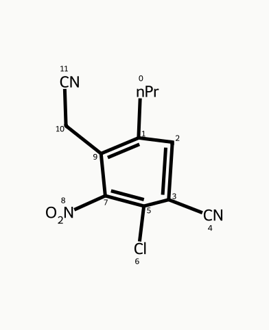 CCCc1cc(C#N)c(Cl)c([N+](=O)[O-])c1CC#N